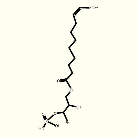 [2H]C(OP(=O)(O)O)C(O)COC(=O)CCCCCCC/C=C\CCCCCCCC